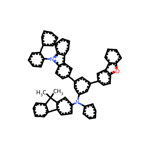 CC1(C)c2ccccc2-c2ccc(N(c3ccccc3)c3cc(-c4ccc5oc6ccccc6c5c4)cc(-c4ccc5c(c4)c4ccccc4n5-c4ccccc4-c4ccccc4)c3)cc21